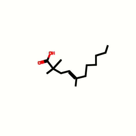 CCCCCCC(C)=CCC(C)(C)C(=O)O